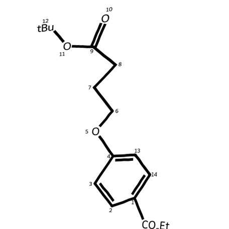 CCOC(=O)c1ccc(OCCCC(=O)OC(C)(C)C)cc1